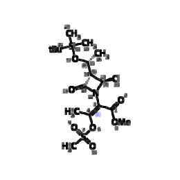 COC(=O)/C(=C(/C)OS(C)(=O)=O)N1C(=O)[C@H]([C@@H](C)O[Si](C)(C)C(C)(C)C)[C@H]1Cl